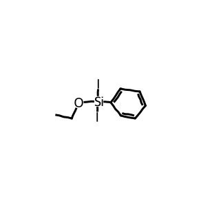 CCO[Si](I)(I)c1ccccc1